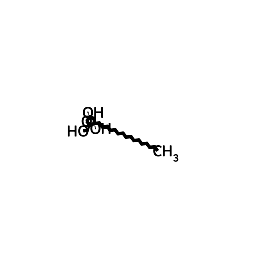 CCCCCCCCCCCCCCCC[C@]1(O)C[C@@H](O)O[C@@H]1CO